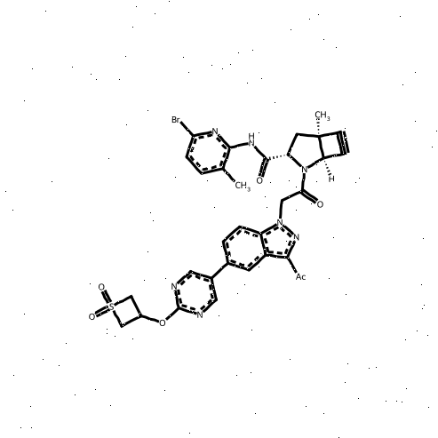 CC(=O)c1nn(CC(=O)N2[C@H](C(=O)Nc3nc(Br)ccc3C)C[C@@]3(C)C#C[C@@H]23)c2ccc(-c3cnc(OC4CS(=O)(=O)C4)nc3)cc12